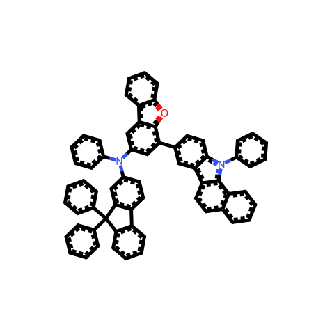 c1ccc(N(c2ccc3c(c2)C(c2ccccc2)(c2ccccc2)c2ccccc2-3)c2cc(-c3ccc4c(c3)c3ccc5ccccc5c3n4-c3ccccc3)c3oc4ccccc4c3c2)cc1